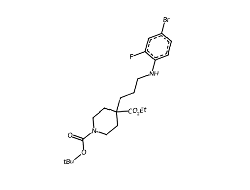 CCOC(=O)C1(CCCNc2ccc(Br)cc2F)CCN(C(=O)OC(C)(C)C)CC1